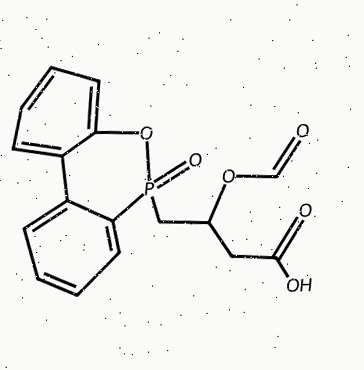 O=COC(CC(=O)O)CP1(=O)Oc2ccccc2-c2ccccc21